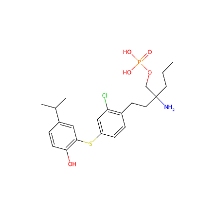 CCCC(N)(CCc1ccc(Sc2cc(C(C)C)ccc2O)cc1Cl)COP(=O)(O)O